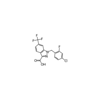 O=C(O)c1nn(Cc2ccc(Cl)cc2F)c2cc(C(F)(F)F)ccc12